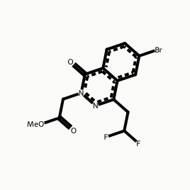 COC(=O)Cn1nc(CC(F)F)c2cc(Br)ccc2c1=O